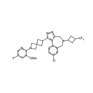 COc1cc(F)cnc1N1CC2(CC(c3nnc4n3-c3ccc(Cl)cc3CN(C3CC(C(F)(F)F)C3)C4)C2)C1